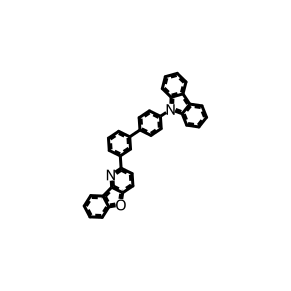 c1cc(-c2ccc(-n3c4ccccc4c4ccccc43)cc2)cc(-c2ccc3oc4ccccc4c3n2)c1